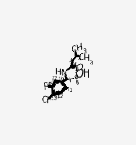 CC(C)CC(=O)N[C@H](CO)c1ccc(Cl)c(F)c1